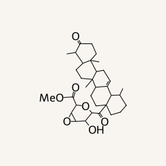 COC(=O)C1OC(C(=O)C23CCCC(C)C2C2=CCC4C(C)(CCC5C(C)C(=O)CCC54C)C2CC3)C(O)C2OC12